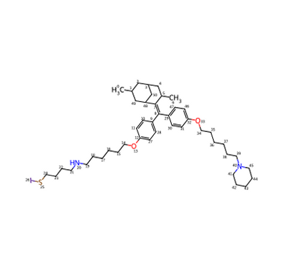 CC1CC2CC(C)/C(=C(/c3ccc(OCCCCCCNCCCCSI)cc3)c3ccc(OCCCCCCN4CCCCC4)cc3)C(C1)C2